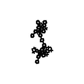 CC1(C)CCC(C)(C)c2cc3c(cc21)-c1cc2c(oc4ccc(-c5ccc(-c6ccc(N7B8c9cccc%10c9N(c9cc%11ccccc%11cc9C%10(C)C)c9c8c(cc8c9oc9ccccc98)-c8ccc(-c9ccccc9)cc87)cc6)cc5)cc42)c2c1B(c1cccc4c1N2c1cc2c(cc1C4(C)C)C(C)(C)CCC2(C)C)N3c1ccc(-c2ccccc2)cc1